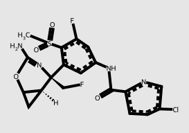 CS(=O)(=O)c1c(F)cc(NC(=O)c2ccc(Cl)cn2)cc1[C@@]1(CF)N=C(N)OC2C[C@@H]21